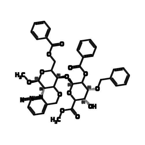 COC(=O)C1O[C@@H](O[C@@H]2C(COC(=O)c3ccccc3)O[C@H](OC)[C@@H](N=[N+]=[N-])C2OCc2ccccc2)C(OC(=O)c2ccccc2)[C@H](OCc2ccccc2)[C@@H]1O